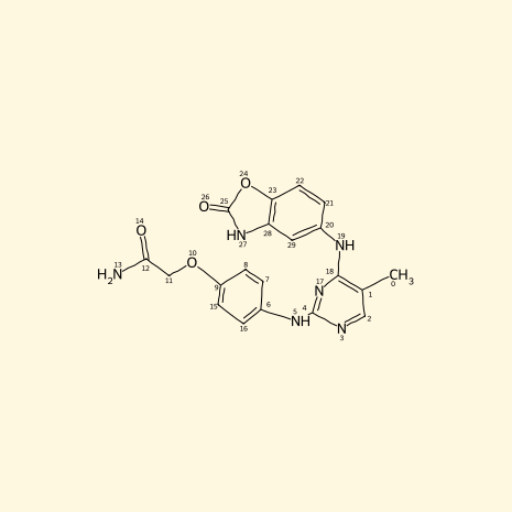 Cc1cnc(Nc2ccc(OCC(N)=O)cc2)nc1Nc1ccc2oc(=O)[nH]c2c1